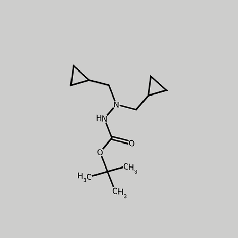 CC(C)(C)OC(=O)NN(CC1CC1)CC1CC1